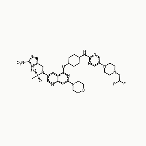 Cn1c(CN(c2cnc3cc(N4CCOCC4)nc(OC4CCC(Nc5ncc(N6CCN(CC(F)F)CC6)cn5)CC4)c3c2)S(C)(=O)=O)cnc1[N+](=O)[O-]